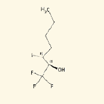 CCCC[C@@H](I)[C@@H](O)C(F)(F)F